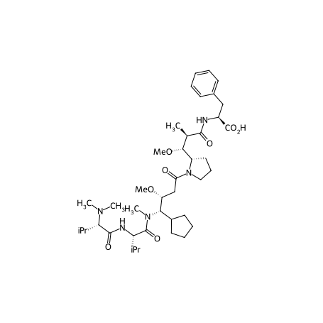 CO[C@H]([C@@H](C)C(=O)N[C@@H](Cc1ccccc1)C(=O)O)[C@@H]1CCCN1C(=O)C[C@@H](OC)[C@H](C1CCCC1)N(C)C(=O)[C@@H](NC(=O)[C@H](C(C)C)N(C)C)C(C)C